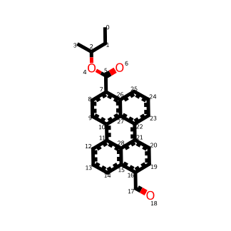 CCC(C)OC(=O)c1ccc2c3cccc4c(C=O)ccc(c5cccc1c52)c43